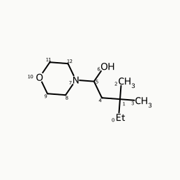 CCC(C)(C)CC(O)N1CCOCC1